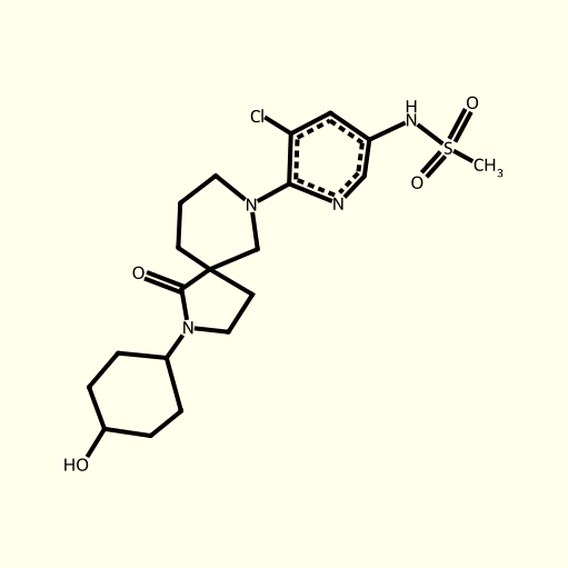 CS(=O)(=O)Nc1cnc(N2CCCC3(CCN(C4CCC(O)CC4)C3=O)C2)c(Cl)c1